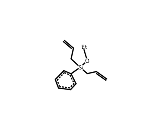 C=CC[Si](CC=C)(OCC)c1ccccc1